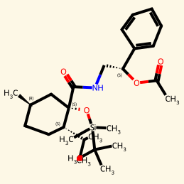 CC(=O)O[C@H](CNC(=O)[C@]1(O[Si](C)(C)C(C)(C)C)C[C@H](C)CC[C@H]1C(C)C)c1ccccc1